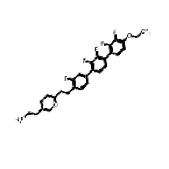 CCCC1CCC(CCc2ccc(-c3ccc(-c4ccc(OCC)c(F)c4F)c(F)c3F)cc2F)OC1